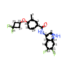 Cc1cc(C(=O)Nc2c[nH]c3cc(F)c(F)cc23)ccc1OC1CC(F)(F)C1